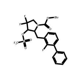 CC(C)(C)OC(=O)N1CC(F)(F)C(OS(=O)(=O)C(F)(F)F)C1Cc1cccc(-c2ccccc2)c1F